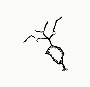 CCOC(OCC)(c1ccc(Br)cc1)N(C)C